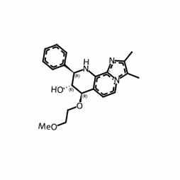 COCCO[C@@H]1c2ccn3c(C)c(C)nc3c2N[C@H](c2ccccc2)[C@H]1O